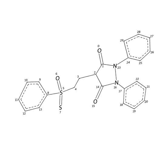 O=C1C(CCS(=O)(=S)c2ccccc2)C(=O)N(c2ccccc2)N1c1ccccc1